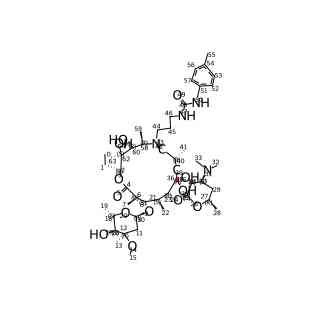 CC[C@H]1OC(=O)[C@H](C)[C@@H](O[C@H]2C[C@@](C)(OC)[C@@H](O)[C@H](C)O2)[C@H](C)[C@@H](O[C@@H]2O[C@H](C)C[C@H](N(C)C)[C@H]2O)[C@](C)(O)C[C@@H](C)CN(CCCNC(=O)Nc2ccc(C)cc2)[C@H](C)[C@@H](O)[C@]1(C)O